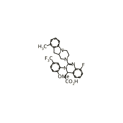 COc1ccc(C(F)(F)F)cc1N1C(N2CCN3c4cccc(C)c4CC3C2)=Nc2c(F)cccc2C1CC(=O)O